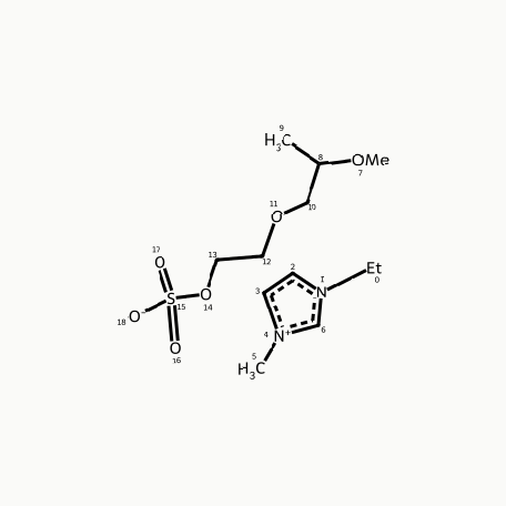 CCn1cc[n+](C)c1.COC(C)COCCOS(=O)(=O)[O-]